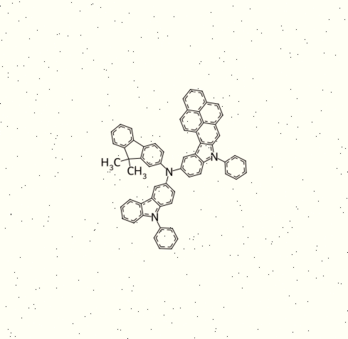 CC1(C)c2ccccc2-c2ccc(N(c3ccc4c(c3)c3ccccc3n4-c3ccccc3)c3ccc4c(c3)c3c5ccc6cccc7ccc(cc3n4-c3ccccc3)c5c76)cc21